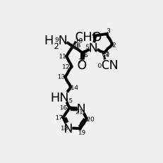 N#C[C@@H]1CCCN1C(=O)[C@](N)(C=O)CCCCNc1cnccn1